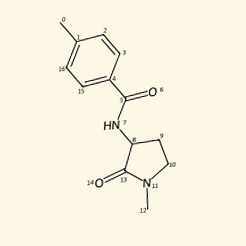 Cc1ccc(C(=O)NC2CCN(C)C2=O)cc1